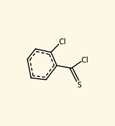 S=C(Cl)c1ccccc1Cl